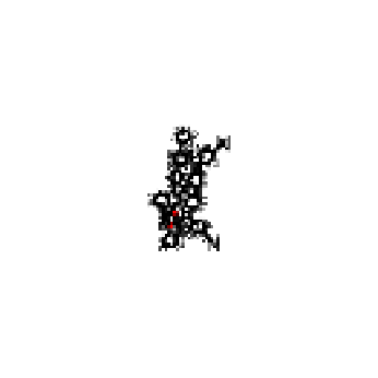 N#Cc1ccc(N(c2ccc3c(c2)C2(c4cc(N(c5ccc(C#N)cc5)c5cccc6c5oc5ccccc56)ccc4-3)c3ccccc3-c3c2cc2c4c(cccc34)-c3ccccc3-2)c2cccc3c2oc2ccccc23)cc1